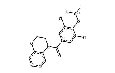 O=C(c1cc(Cl)c(O[Br+2]([O-])[O-])c(Cl)c1)N1CCOc2cnccc21